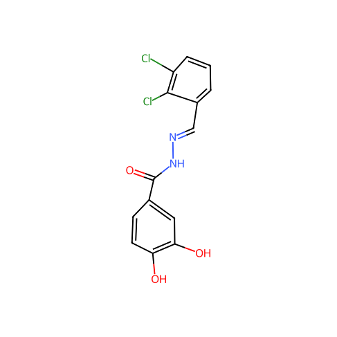 O=C(NN=Cc1cccc(Cl)c1Cl)c1ccc(O)c(O)c1